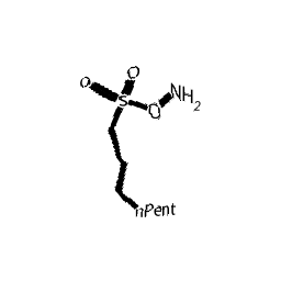 CCCCCCCCS(=O)(=O)ON